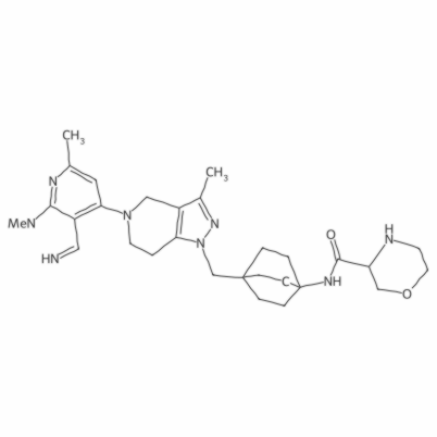 CNc1nc(C)cc(N2CCc3c(c(C)nn3CC34CCC(NC(=O)C5COCCN5)(CC3)CC4)C2)c1C=N